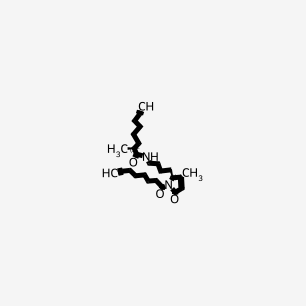 C#CCCCCCC(=O)N1C(=O)C=C(C)[C@@H]1CCCCNC(=O)[C@@H](C)CCCCC#C